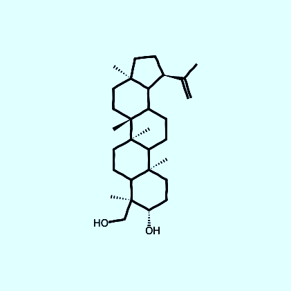 C=C(C)[C@@H]1CC[C@]2(C)CC[C@]3(C)C(CCC4[C@@]5(C)CC[C@H](O)[C@@](C)(CO)C5CC[C@]43C)C12